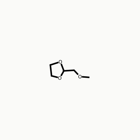 COC[C]1OCCO1